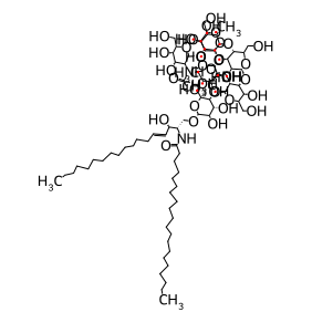 CCCCCCCCCCCCC/C=C/[C@@H](O)[C@H](CO[C@@H]1OC(CO)[C@@H](O[C@@H]2OC(CO)[C@H](O)[C@H](O[C@@H]3OC(CO)[C@@H](O[C@@H]4OC(CO)[C@H](O)[C@H](O[C@H]5OC(CO)[C@H](O)[C@H](O)C5NC(C)=O)C4O[C@H]4OC(C)[C@@H](O)C(O)[C@@H]4O)[C@H](O[C@H]4OC(C)[C@@H](O)C(O)[C@@H]4O)C3NC(C)=O)C2O)[C@H](O)C1O)NC(=O)CCCCCCCCCCCCCCCCCCC